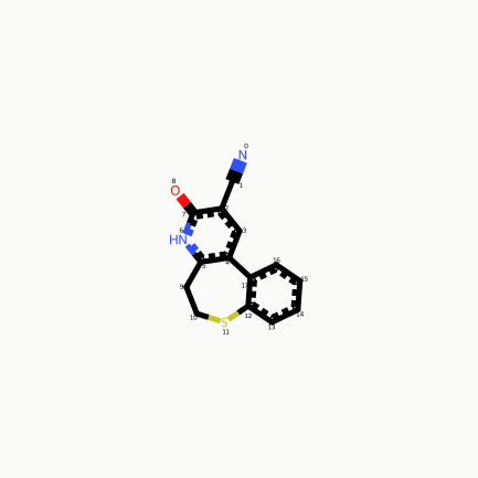 N#Cc1cc2c([nH]c1=O)CCSc1ccccc1-2